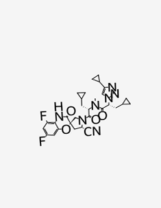 CN(C(=O)[C@@H](CC1CC1)n1cc(C2CC2)nn1)[C@@H](CC1CC1)C(=O)N1C[C@@]2(C[C@H]1C#N)Oc1cc(F)cc(F)c1NC2=O